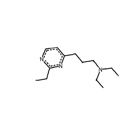 CCc1nccc(CCCN(CC)CC)n1